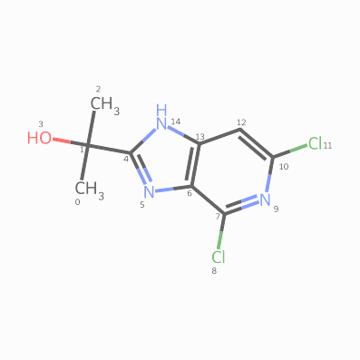 CC(C)(O)c1nc2c(Cl)nc(Cl)cc2[nH]1